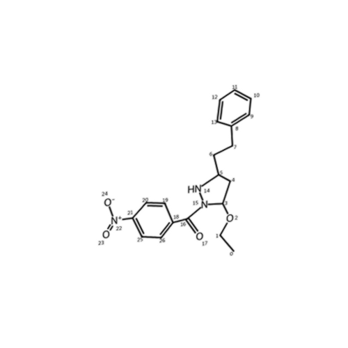 CCOC1CC(CCc2ccccc2)NN1C(=O)c1ccc([N+](=O)[O-])cc1